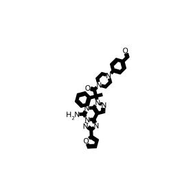 CC(C(=O)N1CCN(c2ccc(C=O)cc2)CC1)(c1ccccc1)n1ncc2c1nc(N)n1nc(-c3ccco3)nc21